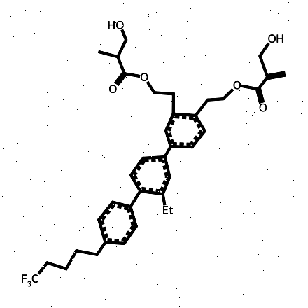 C=C(CO)C(=O)OCCc1ccc(-c2ccc(-c3ccc(CCCCC(F)(F)F)cc3)c(CC)c2)cc1CCOC(=O)C(C)CO